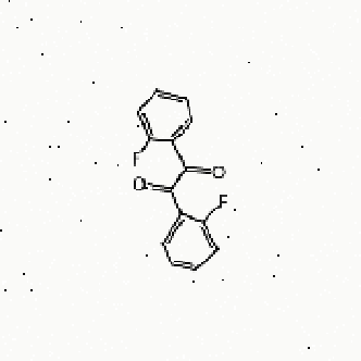 O=C(C(=O)c1ccccc1F)c1ccccc1F